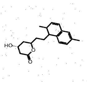 Cc1ccc2c(c1)C=CC(C)C2CCC1C[C@@H](O)CC(=O)O1